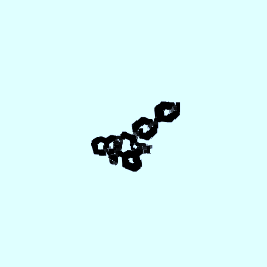 O=C(COCC1CCCCN1S(=O)(=O)c1cccc(Br)c1)N1CCN(c2ccncc2)CC1